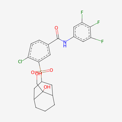 O=C(Nc1cc(F)c(F)c(F)c1)c1ccc(Cl)c(S(=O)(=O)C2CC3CCCC(C2)C3(O)CO)c1